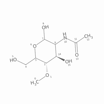 CO[C@@H]1C(CO)OC(O)C(NC(C)=O)[C@H]1O